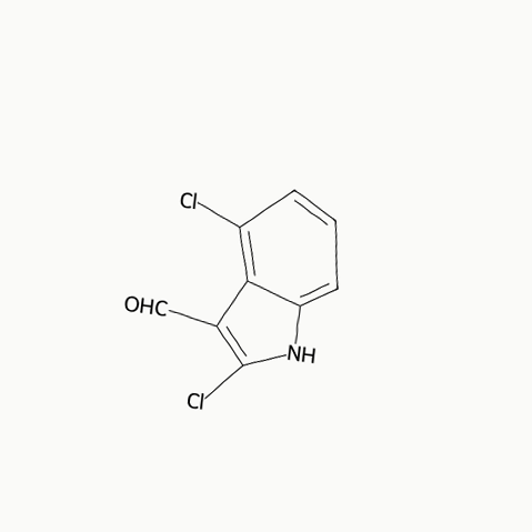 O=Cc1c(Cl)[nH]c2cccc(Cl)c12